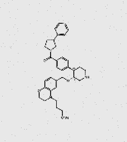 COCCCN1CCOc2ccc(CO[C@H]3CNCC[C@@H]3c3ccc(C(=O)N4CCC(c5ccccc5)C4)cc3)cc21